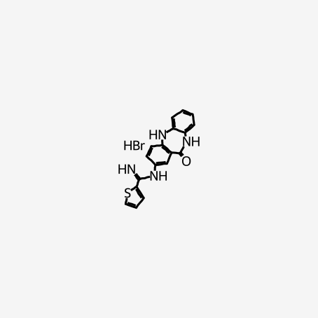 Br.N=C(Nc1ccc2c(c1)C(=O)Nc1ccccc1N2)c1cccs1